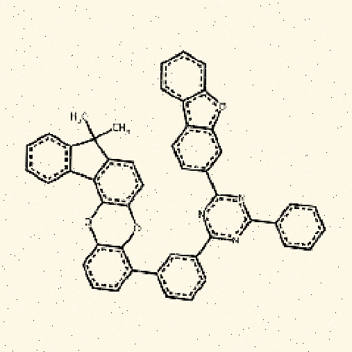 CC1(C)c2ccccc2-c2c1ccc1c2Oc2cccc(-c3cccc(-c4nc(-c5ccccc5)nc(-c5ccc6c(c5)oc5ccccc56)n4)c3)c2O1